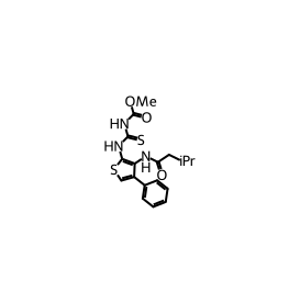 COC(=O)NC(=S)Nc1scc(-c2ccccc2)c1NC(=O)CC(C)C